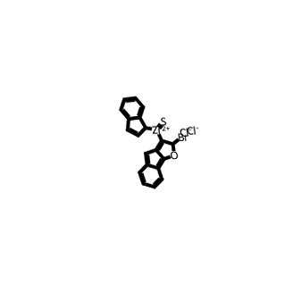 [Cl-].[Cl-].[S]=[Zr+2]([C]1=C2C=c3ccccc3=C2OC1Br)[CH]1C=Cc2ccccc21